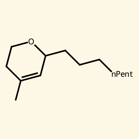 CCCCCCCCC1C=C(C)CCO1